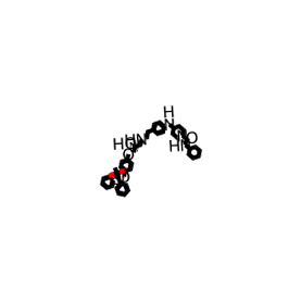 CC(C)(C)[Si](Oc1ccc(OC[C@@H](O)CNCCc2ccc(NC3CCN(C(=O)NC4CCCCC4)CC3)cc2)cc1)(c1ccccc1)c1ccccc1